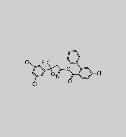 O=C(OC1=NOC(c2cc(Cl)cc(Cl)c2)(C(F)(F)F)C1)c1ccc(Cl)cc1-c1ccccc1